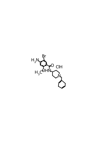 COc1cc(N)c(Br)cc1C(=O)NC1CCN(CC2=CCC=CC2)CC1.Cl